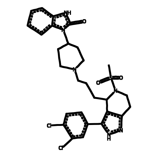 CS(=O)(=O)N1CCc2n[nH]c(-c3ccc(Cl)c(Cl)c3)c2C1CCCN1CCC(n2c(=O)[nH]c3ccccc32)CC1